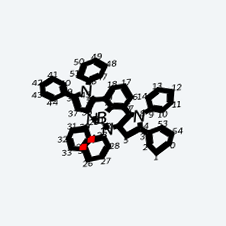 c1ccc(-c2cc3c(n2-c2ccccc2)-c2cccc4c2B(N3c2ccccc2)N(c2ccccc2)c2cc(-c3ccccc3)n(-c3ccccc3)c2-4)cc1